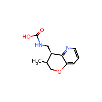 C[C@@H]1COc2cccnc2[C@@H]1CNC(=O)O